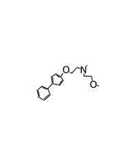 COCCN(C)CCOc1ccc(-c2ccccc2)cc1